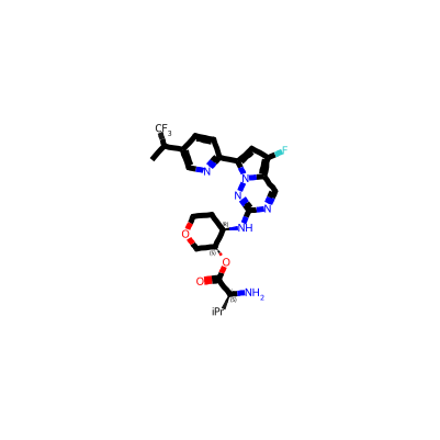 CC(C)[C@H](N)C(=O)O[C@@H]1COCC[C@H]1Nc1ncc2c(F)cc(-c3ccc(C(C)C(F)(F)F)cn3)n2n1